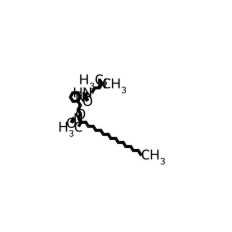 CCCCCCCCCCCCCCCCCC(C)N(C=O)OCCC1CCCCN1C(=O)NCCCN(C)C